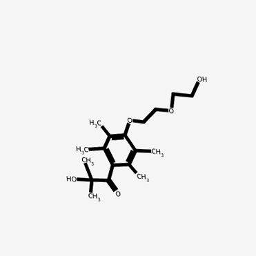 Cc1c(C)c(C(=O)C(C)(C)O)c(C)c(C)c1OCCOCCO